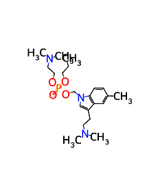 CCCOP(=O)(OCCN(C)C)OCn1cc(CCN(C)C)c2cc(C)ccc21